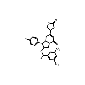 C[C@@H](OC1CN2C(=O)C=C(C3COC(=O)C3)CC2[C@@H]1c1ccc(F)cc1)c1cc(C(F)(F)F)cc(C(F)(F)F)c1